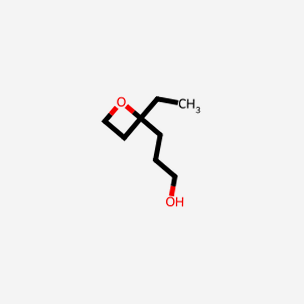 CCC1(CCCO)CCO1